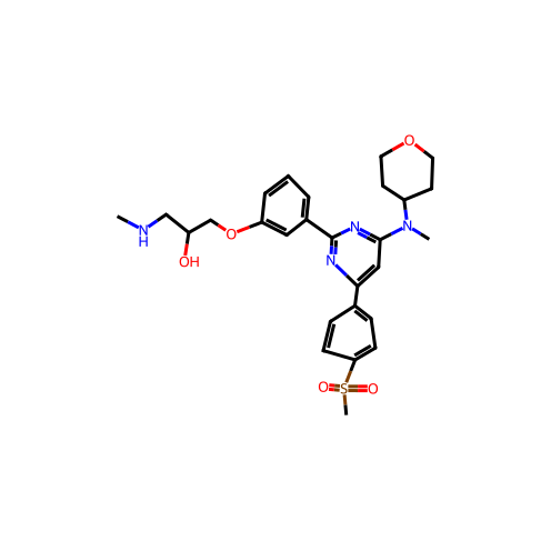 CNCC(O)COc1cccc(-c2nc(-c3ccc(S(C)(=O)=O)cc3)cc(N(C)C3CCOCC3)n2)c1